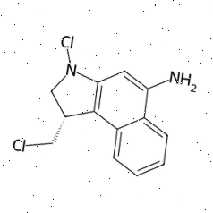 Nc1cc2c(c3ccccc13)[C@H](CCl)CN2Cl